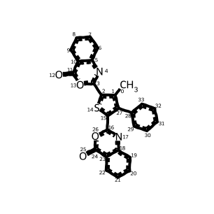 Cc1c(-c2nc3ccccc3c(=O)o2)sc(-c2nc3ccccc3c(=O)o2)c1-c1ccccc1